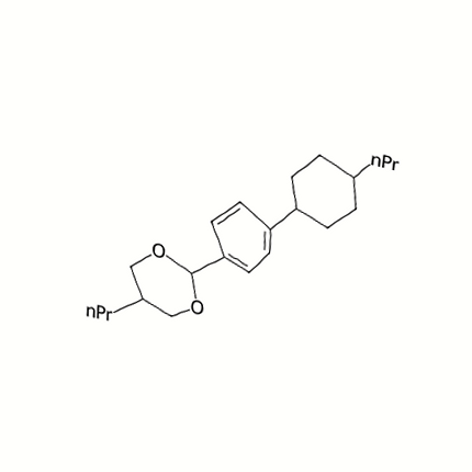 CCCC1CCC(c2ccc(C3OCC(CCC)CO3)cc2)CC1